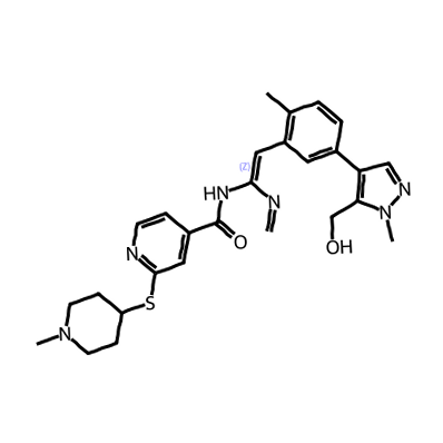 C=N/C(=C\c1cc(-c2cnn(C)c2CO)ccc1C)NC(=O)c1ccnc(SC2CCN(C)CC2)c1